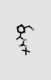 CC(NC(=O)OC(C)(C)C)c1cccc(CBr)c1